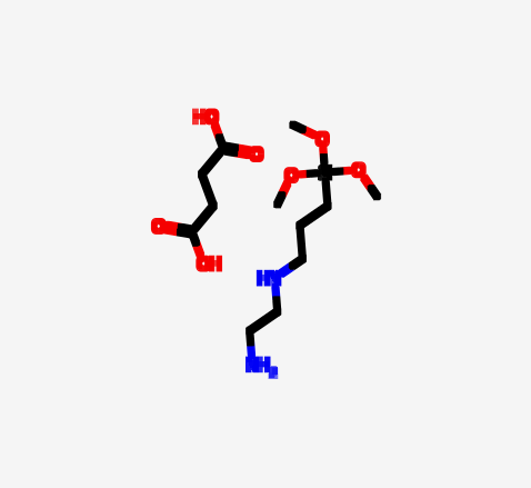 CO[Si](CCCNCCN)(OC)OC.O=C(O)CCC(=O)O